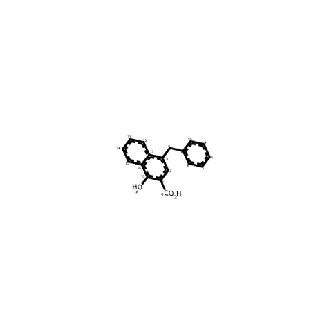 O=C(O)c1cc(Cc2ccccc2)c2ccccc2c1O